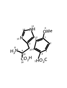 COc1ccc(C(=O)O)cc1.N[C@@H](Cc1c[nH]cn1)C(=O)O